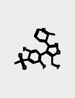 Cc1ncccc1-c1noc(CF)c1-c1cc(F)c(S(C)(=O)=O)cc1F